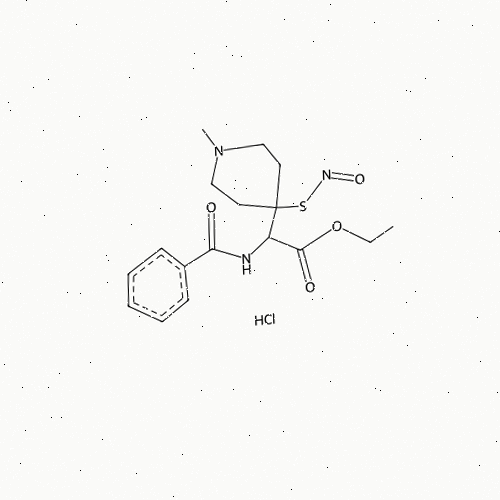 CCOC(=O)C(NC(=O)c1ccccc1)C1(SN=O)CCN(C)CC1.Cl